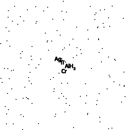 [Ag].[AlH3].[Cr].[Ti]